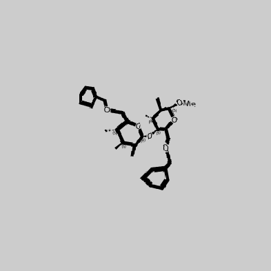 CO[C@H]1OC(COCc2ccccc2)[C@@H](O[C@H]2OC(COCc3ccccc3)[C@@H](C)[C@H](C)C2C)[C@H](C)C1C